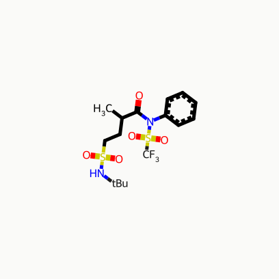 CC(CCS(=O)(=O)NC(C)(C)C)C(=O)N(c1ccccc1)S(=O)(=O)C(F)(F)F